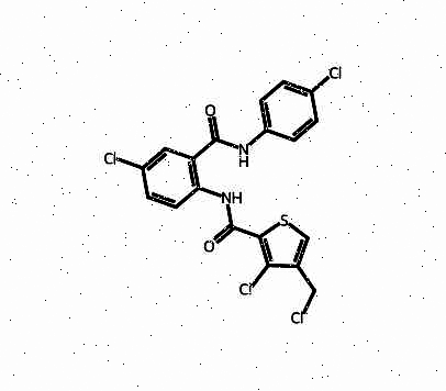 O=C(Nc1ccc(Cl)cc1)c1cc(Cl)ccc1NC(=O)c1scc(CCl)c1Cl